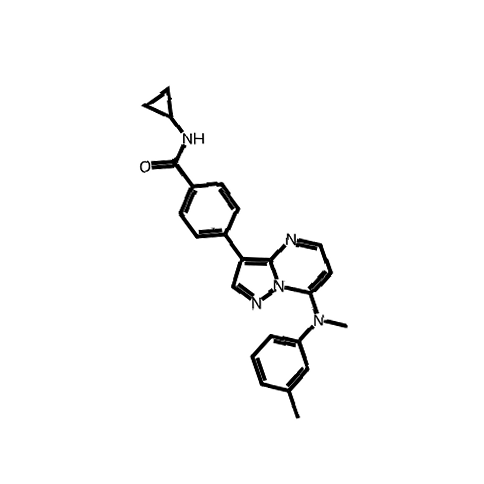 Cc1cccc(N(C)c2ccnc3c(-c4ccc(C(=O)NC5CC5)cc4)cnn23)c1